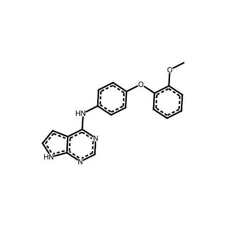 COc1ccccc1Oc1ccc(Nc2ncnc3[nH]ccc23)cc1